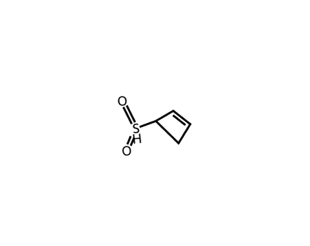 O=[SH](=O)C1C=CC1